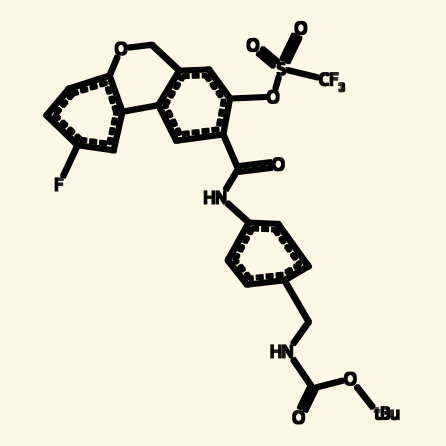 CC(C)(C)OC(=O)NCc1ccc(NC(=O)c2cc3c(cc2OS(=O)(=O)C(F)(F)F)COc2ccc(F)cc2-3)cc1